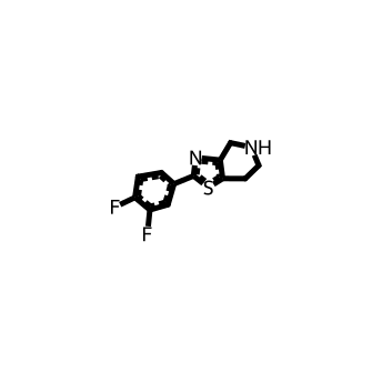 Fc1ccc(-c2nc3c(s2)CCNC3)cc1F